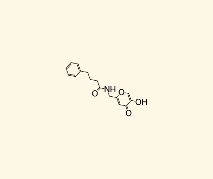 O=C(CCCc1ccccc1)NCc1cc(=O)c(O)co1